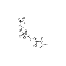 CC(C)C(C)C(=O)OCCOP(=O)([O-])OCC[N+](C)(C)C